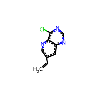 C=Cc1cnc2c(Cl)ncnc2c1